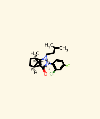 CC(C)CCn1c2c(c(=O)n1-c1ccc(F)cc1Cl)[C@H]1CC[C@]2(C)C1(C)C